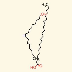 CCCCCCCC/C=C\CCCCCCCCO.CCCCCCCCCCCCCCCCCCCCCC(=O)O